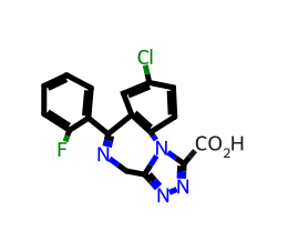 O=C(O)c1nnc2n1-c1ccc(Cl)cc1C(c1ccccc1F)=NC2